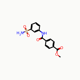 COC(=O)c1ccc(C(=O)Nc2cccc(S(N)(=O)=O)c2)cc1